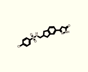 O=C1CC(c2ccc3c(c2)CC(CNS(=O)(=O)c2ccc(Cl)cc2)C3)=NN1